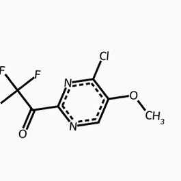 COc1cnc(C(=O)C(F)(F)F)nc1Cl